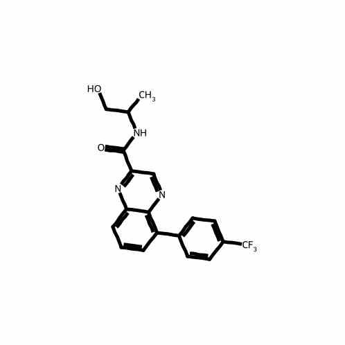 CC(CO)NC(=O)c1cnc2c(-c3ccc(C(F)(F)F)cc3)cccc2n1